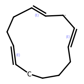 [CH]1/C=C/CC/C=C/CCCC/C=C/1